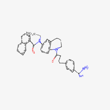 N=C(N)c1ccc(CCC(=O)N2CCCc3cc(N(CC(=O)O)C(=O)c4cccc5ccccc45)ccc32)cc1